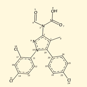 Cc1c(N(C=O)C(=O)O)nn(-c2ccc(Cl)cc2Cl)c1-c1ccc(Cl)cc1